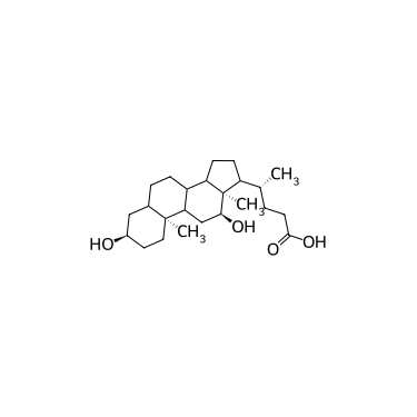 C[C@H](CCC(=O)O)C1CCC2C3CCC4C[C@H](O)CC[C@]4(C)C3C[C@H](O)[C@@]21C